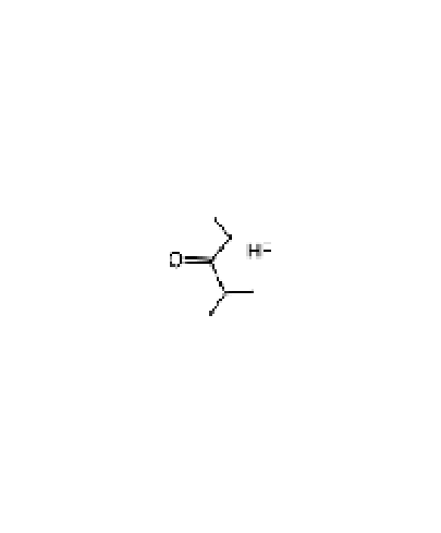 CCC(=O)C(C)C.F